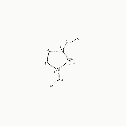 CCN1CCN(CC)[SiH2]1